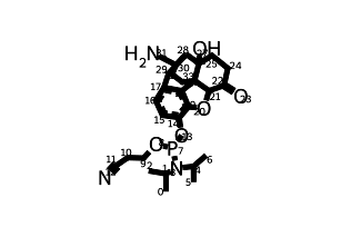 CC(C)N(C(C)C)P(OCCC#N)Oc1ccc2c3c1OC1C(=O)CCC4(O)C(C2)C(N)CCC314